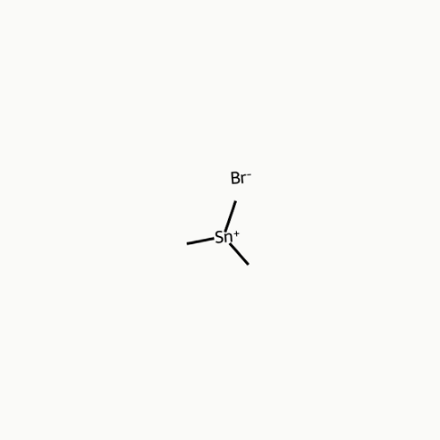 [Br-].[CH3][Sn+]([CH3])[CH3]